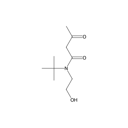 CC(=O)CC(=O)N(CCO)C(C)(C)C